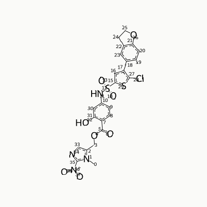 Cn1c(COC(=O)c2ccc(NS(=O)(=O)c3cc(-c4ccc5c(c4)CCO5)c(Cl)s3)cc2O)cnc1[N+](=O)[O-]